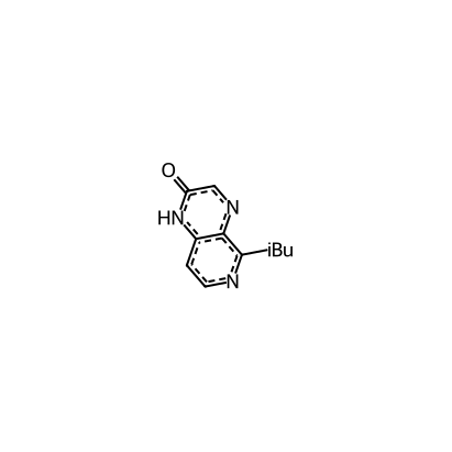 CCC(C)c1nccc2[nH]c(=O)cnc12